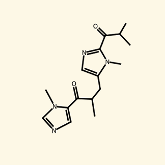 CC(C)C(=O)c1ncc(CC(C)C(=O)c2cncn2C)n1C